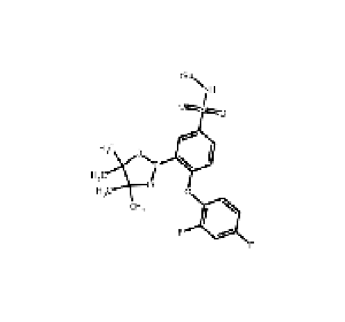 CC(C)(C)NS(=O)(=O)c1ccc(Oc2ccc(F)cc2F)c(B2OC(C)(C)C(C)(C)O2)c1